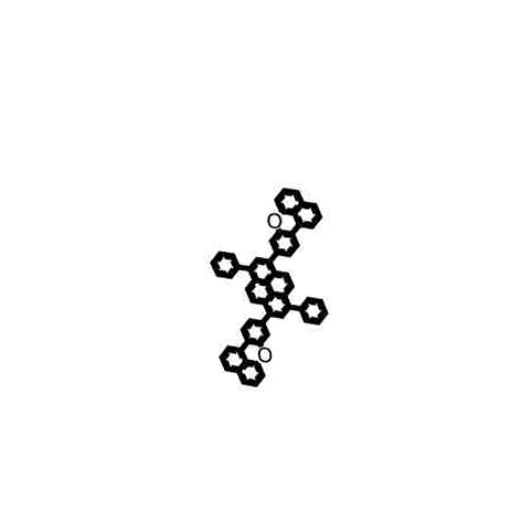 c1ccc(-c2cc(-c3ccc4c(c3)Oc3cccc5cccc-4c35)c3ccc4c(-c5ccccc5)cc(-c5ccc6c(c5)Oc5cccc7cccc-6c57)c5ccc2c3c45)cc1